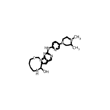 CC1CN(c2ccc(Nc3ncc4cc5n(c4n3)CCCCCCNC5O)nc2)CCN1C